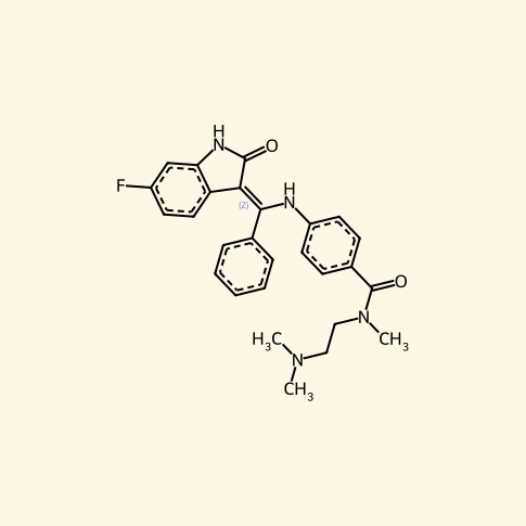 CN(C)CCN(C)C(=O)c1ccc(N/C(=C2\C(=O)Nc3cc(F)ccc32)c2ccccc2)cc1